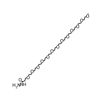 COCCOCCOCCOCCOCCOCCOCCOCCOCCOCCOCCOCCOCCC(=O)NN